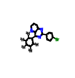 [2H]c1c([2H])c([2H])c(-c2nc(-c3ccc(Br)cc3)nc3cccnc23)c([2H])c1[2H]